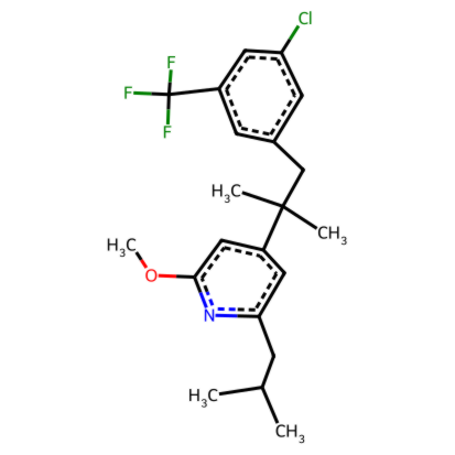 COc1cc(C(C)(C)Cc2cc(Cl)cc(C(F)(F)F)c2)cc(CC(C)C)n1